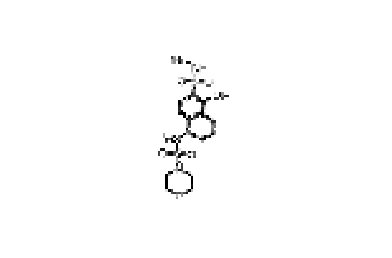 CC(C)(C)NS(=O)(=O)c1ccc2c(NS(=O)(=O)N3CCOCC3)cccc2c1O